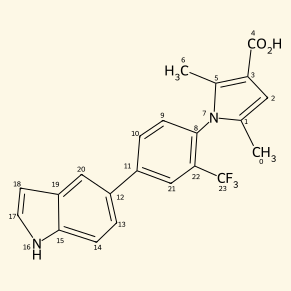 Cc1cc(C(=O)O)c(C)n1-c1ccc(-c2ccc3[nH]ccc3c2)cc1C(F)(F)F